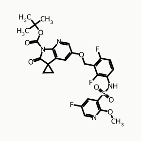 COc1ncc(F)cc1S(=O)(=O)Nc1ccc(F)c(COc2cnc3c(c2)C2(CC2)C(=O)N3C(=O)OC(C)(C)C)c1F